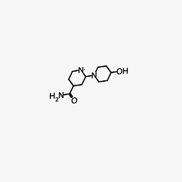 NC(=O)C1CC[N]C(N2CCC(O)CC2)C1